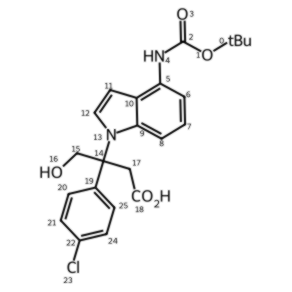 CC(C)(C)OC(=O)Nc1cccc2c1ccn2C(CO)(CC(=O)O)c1ccc(Cl)cc1